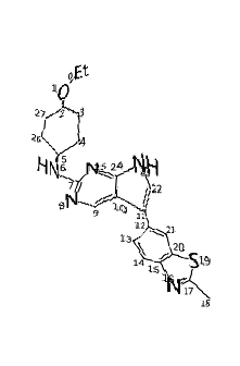 CCO[C@H]1CC[C@@H](Nc2ncc3c(-c4ccc5nc(C)sc5c4)c[nH]c3n2)CC1